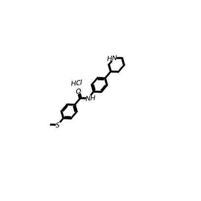 CSc1ccc(C(=O)Nc2ccc(C3CCCNC3)cc2)cc1.Cl